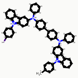 Cc1ccc(-n2c3ccccc3c3cc(N(c4ccccc4)c4ccc(-c5ccc(N(c6ccccc6)c6ccc7c(c6)c6ccccc6n7-c6ccc(I)cc6)cc5)cc4)ccc32)cc1